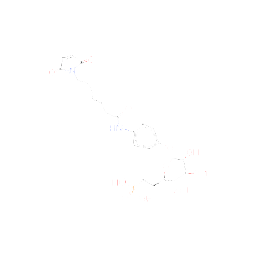 O=C(CCCCCN1C(=O)C=CC1=O)Nc1ccc(O[C@H]2O[C@H](CCP(=O)(O)O)[C@@H](O)[C@H](O)[C@@H]2O)cc1